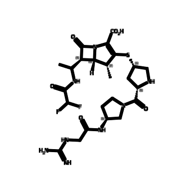 CC(NC(=O)C(F)F)[C@H]1C(=O)N2C(C(=O)O)=C(S[C@@H]3CN[C@H](C(=O)N4CC[C@H](NC(=O)CNC(=N)N)C4)C3)[C@H](C)[C@H]12